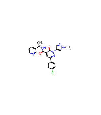 C[C@H](NC(=O)c1cc(-c2ccc(Cl)cc2)nn(-c2cnn(C)c2)c1=O)c1cccnc1